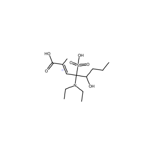 CCCC(O)C(/C=C(\C)C(=O)O)(N(CC)CC)S(=O)(=O)O